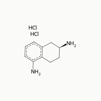 Cl.Cl.Nc1cccc2c1CC[C@H](N)C2